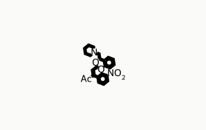 CC(=O)C(=CC(=O)OC(CN1CCCCC1)c1ccccc1)c1cccc([N+](=O)[O-])c1